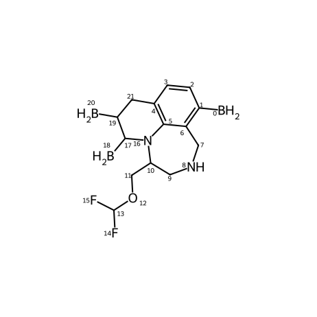 Bc1ccc2c3c1CNCC(COC(F)F)N3C(B)C(B)C2